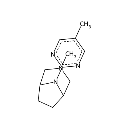 Cc1cnc(N2C3CCC2CN(C)C3)nc1